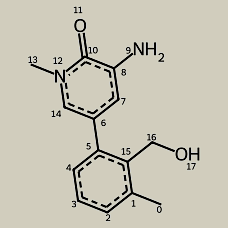 Cc1cccc(-c2cc(N)c(=O)n(C)c2)c1CO